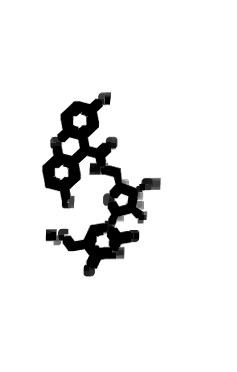 CCc1cn([C@H]2O[C@@H](CNC(=O)C3c4cc(Cl)ccc4Oc4ccc(Cl)cc43)[C@H](O)[C@H]2F)c(=O)[nH]c1=O